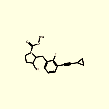 CC(C)(C)OC(=O)N1CCC(N)C1Cc1cccc(C#CC2CC2)c1F